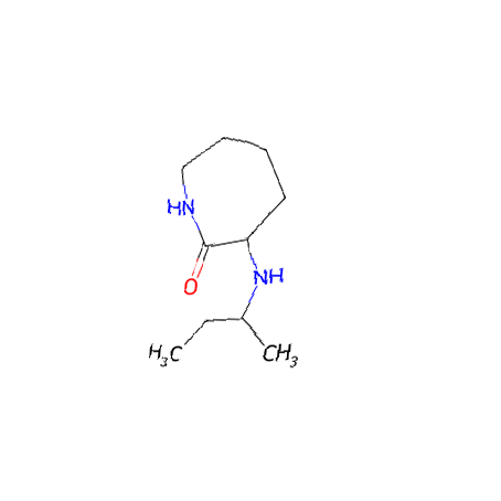 CCC(C)NC1CCCCNC1=O